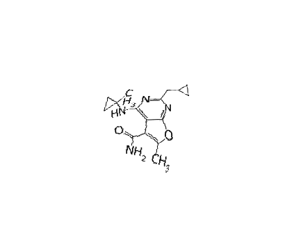 Cc1oc2nc(CC3CC3)nc(NC3(C)CC3)c2c1C(N)=O